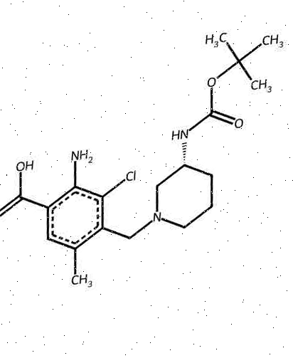 Cc1cc(C(=O)O)c(N)c(Cl)c1CN1CCC[C@@H](NC(=O)OC(C)(C)C)C1